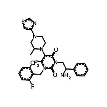 Cc1c(N2CCN(c3cscn3)CC2C)c(=O)n(CC(N)c2ccccc2)c(=O)n1Cc1c(F)cccc1C(F)(F)F